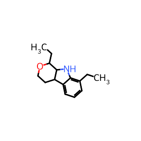 CCc1cccc2c1NC1C(CC)OCCC21